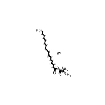 CCCCCCCCCCCCCCCCCC(=O)OC(=O)C(C)O.[KH]